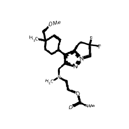 CNC(=O)OCCN(C)Cc1nn2c(c1C1CCC(C)(COC)CC1)CC(F)(F)C2